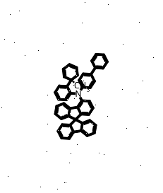 C[C@@]1(c2ccccc2N(c2ccc(-c3ccccc3)cc2)c2cccc3c2-c2ccccc2C32c3ccccc3-c3ccccc32)C=CC=CC1